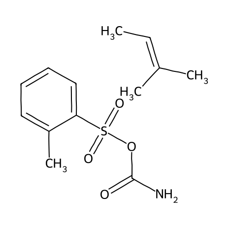 CC=C(C)C.Cc1ccccc1S(=O)(=O)OC(N)=O